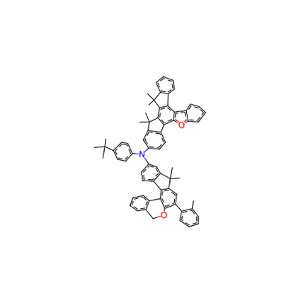 Cc1ccccc1-c1cc2c(c3c1OCc1ccccc1-3)-c1ccc(N(c3ccc(C(C)(C)C)cc3)c3ccc4c(c3)C(C)(C)c3c5c(c6c(oc7ccccc76)c3-4)-c3ccccc3C5(C)C)cc1C2(C)C